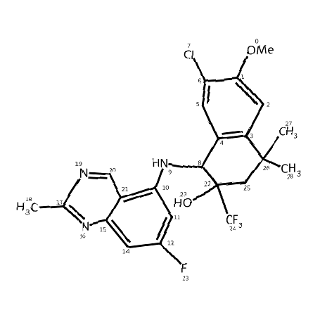 COc1cc2c(cc1Cl)C(Nc1cc(F)cc3nc(C)ncc13)C(O)(C(F)(F)F)CC2(C)C